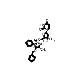 C[C@H](NP(=O)(OCC1O[C@@H](n2ccc(=O)[nH]c2=O)C[C@]1(C)O)Oc1ccccc1)C(=O)OCc1ccccc1